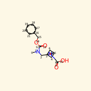 CN(CC12CC(C1)N(C(=O)O)C2)C(=O)OCc1ccccc1